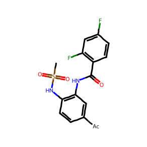 CC(=O)c1ccc(NS(C)(=O)=O)c(NC(=O)c2ccc(F)cc2F)c1